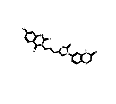 O=C1CSc2ccc(N3CC(CCCn4c(=O)[nH]c5cc(Cl)ccc5c4=O)OC3=O)cc2N1